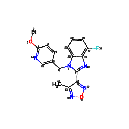 CCOc1ccc(Cn2c(-c3nonc3C)nc3c(F)cccc32)cn1